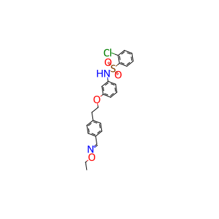 CCO/N=C/c1ccc(CCOc2cccc(NS(=O)(=O)c3ccccc3Cl)c2)cc1